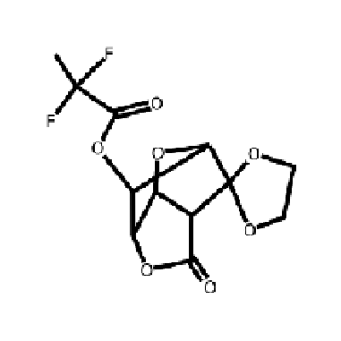 CC(F)(F)C(=O)OC1C2OC(=O)C3C2OC1C31OCCO1